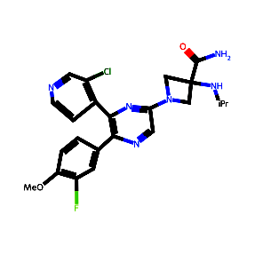 COc1ccc(-c2ncc(N3CC(NC(C)C)(C(N)=O)C3)nc2-c2ccncc2Cl)cc1F